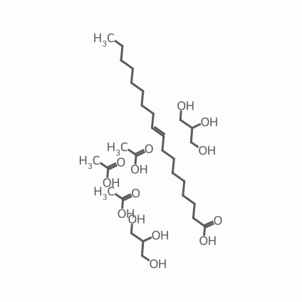 CC(=O)O.CC(=O)O.CC(=O)O.CCCCCCCCC=CCCCCCCCC(=O)O.OCC(O)CO.OCC(O)CO